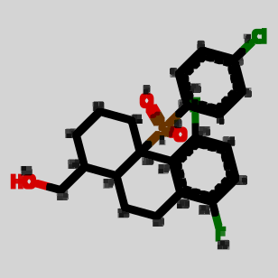 O=S(=O)(c1ccc(Cl)cc1)C12CCCC(CO)C1CCc1c(F)ccc(F)c12